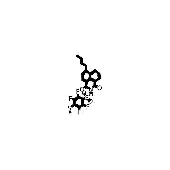 CCCCc1ccc2c3c(cccc13)C(=O)N(OS(=O)(=O)c1c(F)c(F)c(SC)c(F)c1F)C2=O